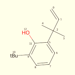 C=CC(C)(C)c1cccc(C(C)(C)C)c1O